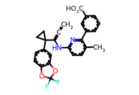 C=C=C(Nc1ccc(C)c(-c2cccc(C(=O)O)c2)n1)C1(c2ccc3c(c2)OC(F)(F)O3)CC1